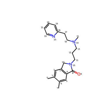 Cc1cc2c(cc1C)C(=O)N(CCCN(C)CCc1ccccn1)C2